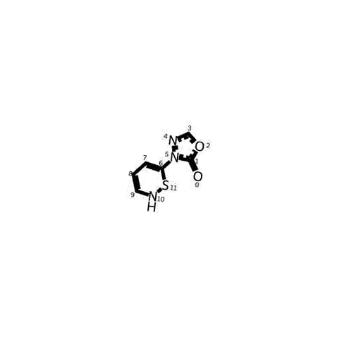 O=c1ocnn1C1=CC=CNS1